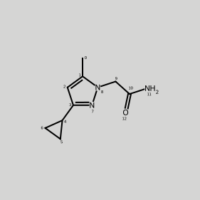 Cc1cc(C2CC2)nn1CC(N)=O